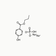 CCCOC(=O)c1ccc(O)cc1.O=P([O-])([O-])O.[Na+].[Na+]